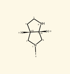 IN1C[C@@H]2CCN[C@@H]2C1